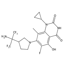 Cc1c(N2CCC(C(N)(C(F)(F)F)C(F)(F)F)C2)c(F)c(O)c2c(=O)[nH]c(=O)n(C3CC3)c12